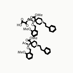 COC(=O)C1(N(OCc2ccccc2OC)C(C)=O)CCN(CCc2ccccc2)CC1.COC(=O)C1(N(OCc2ccccc2OC)C(C)=O)CCN(CCc2ccccc2)CC1.O=C(O)C(=O)O